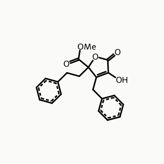 COC(=O)C1(CCc2ccccc2)OC(=O)C(O)=C1Cc1ccccc1